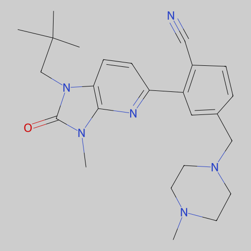 CN1CCN(Cc2ccc(C#N)c(-c3ccc4c(n3)n(C)c(=O)n4CC(C)(C)C)c2)CC1